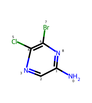 Nc1cnc(Cl)c(Br)n1